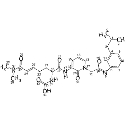 CC(C)Cc1cccc2nc(Cn3cccc(NC(=O)C(CC/C=C/C(=O)N(C)C)NC(=O)O)c3=O)oc12